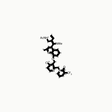 C=C/C(CNC(C)=O)=C(\NC)c1cc(C)nc2c(OCc3c(Cl)ccnc3Cn3cccc(C(F)(F)F)c3=O)cccc12